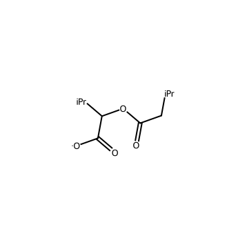 CC(C)CC(=O)OC(C([O])=O)C(C)C